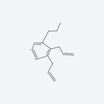 C=CCc1[c][c]cc(CCC)c1CC=C